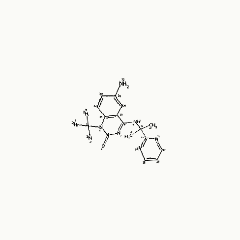 [2H]C([2H])([2H])n1c(=O)nc(NC(C)(C)c2ncccn2)c2cc(N)ccc21